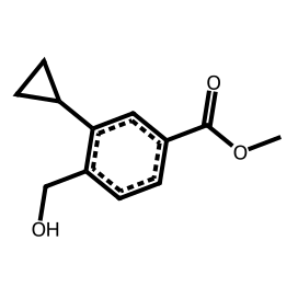 COC(=O)c1ccc(CO)c(C2CC2)c1